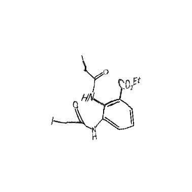 CCOC(=O)c1cccc(NC(=O)CI)c1NC(=O)CI